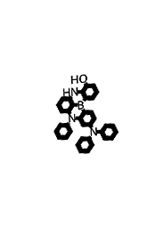 Oc1cccc2c1Nc1cccc3c1B2c1ccc(N(c2ccccc2)c2ccccc2)cc1N3c1ccccc1